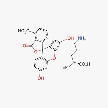 CCCC(CCCN)C(=O)O.O=C(O)c1cccc2c1C(=O)OC21c2ccc(O)cc2Oc2cc(O)ccc21